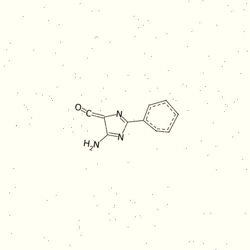 NC1=NC(c2ccccc2)=NC1=C=O